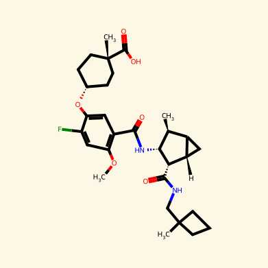 COc1cc(F)c(O[C@H]2CC[C@@](C)(C(=O)O)CC2)cc1C(=O)N[C@H]1[C@@H](C(=O)NCC2(C)CCC2)[C@H]2CC2[C@@H]1C